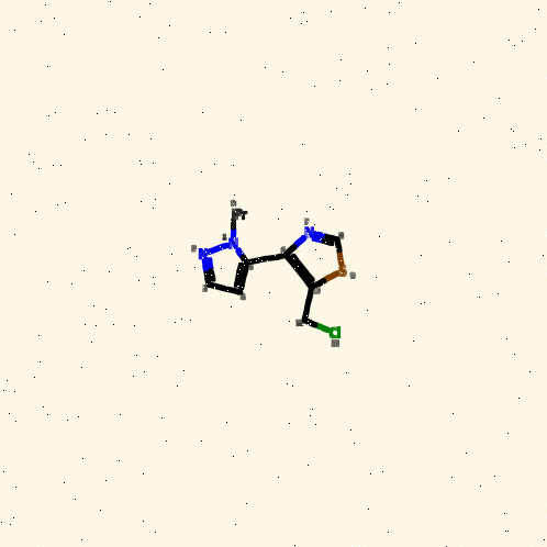 CC(C)n1nccc1-c1ncsc1CCl